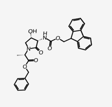 C[C@@H](C(=O)OCc1ccccc1)N1C[C@H](O)[C@H](NC(=O)OCC2c3ccccc3-c3ccccc32)C1=O